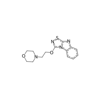 c1ccc2c(c1)nc1snc(OCCN3CCOCC3)n12